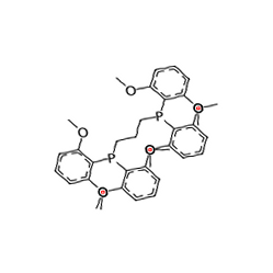 COc1cccc(OC)c1P(CCCP(c1c(OC)cccc1OC)c1c(OC)cccc1OC)c1c(OC)cccc1OC